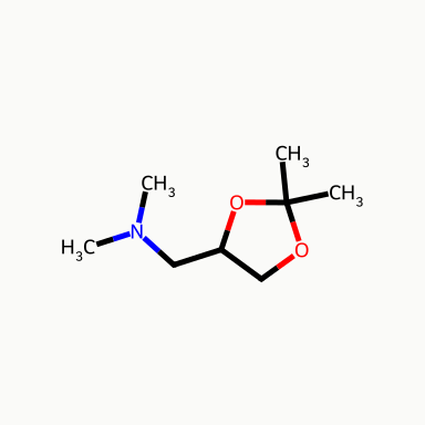 CN(C)CC1COC(C)(C)O1